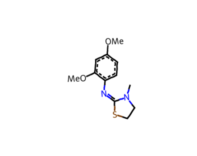 COc1ccc(N=C2SCCN2C)c(OC)c1